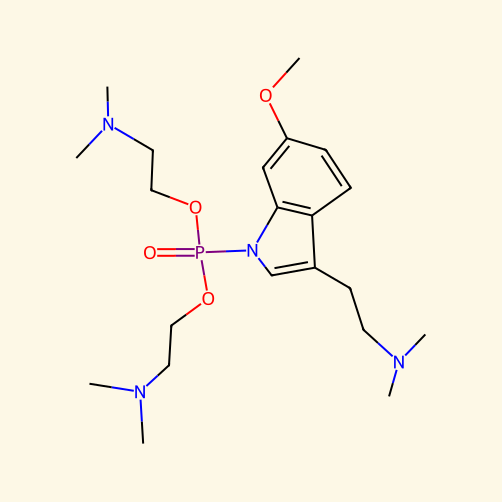 COc1ccc2c(CCN(C)C)cn(P(=O)(OCCN(C)C)OCCN(C)C)c2c1